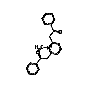 C[n+]1c(CC(=O)c2ccccc2)cccc1CC(=O)c1ccccc1